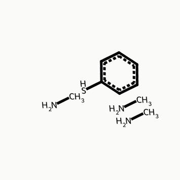 CN.CN.CN.Sc1ccccc1